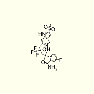 CC(C)(C[C@@](O)(CC1=Cc2[nH]c(S(C)(=O)=O)cc2CN1)C(F)(F)F)c1ccc(F)cc1C(N)=O